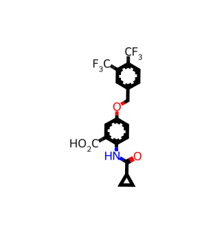 O=C(O)c1cc(OCc2ccc(C(F)(F)F)c(C(F)(F)F)c2)ccc1NC(=O)C1CC1